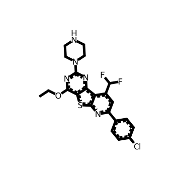 CCOc1nc(N2CCNCC2)nc2c1sc1nc(-c3ccc(Cl)cc3)cc(C(F)F)c12